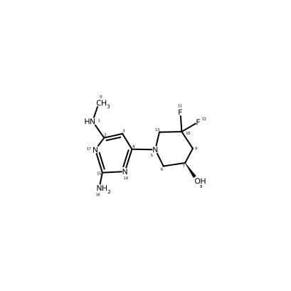 CNc1cc(N2C[C@H](O)CC(F)(F)C2)nc(N)n1